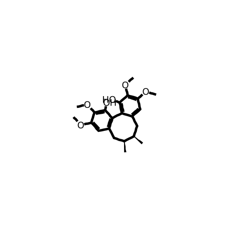 COc1cc2c(c(O)c1OC)-c1c(cc(OC)c(OC)c1O)C[C@H](C)[C@H](C)C2